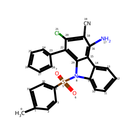 Cc1ccc(S(=O)(=O)n2c3ccccc3c3c(N)c(C#N)c(Cl)c(-c4ccccc4)c32)cc1